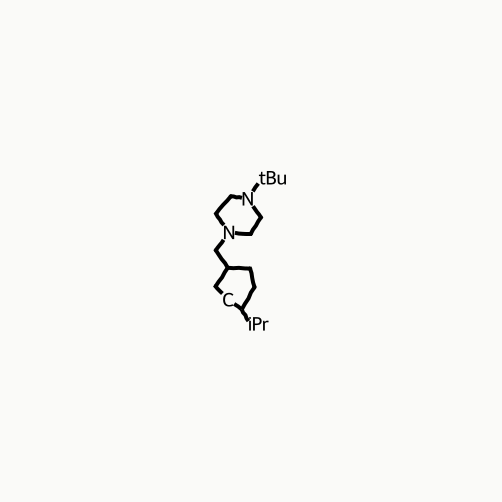 CC(C)C1CCC(CN2CCN(C(C)(C)C)CC2)CC1